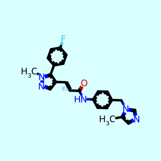 Cc1cncn1Cc1ccc(NC(=O)/C=C/c2cnn(C)c2-c2ccc(F)cc2)cc1